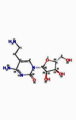 NCCc1cn([C@@H]2O[C@H](CO)[C@@H](O)[C@H]2O)c(=O)nc1N